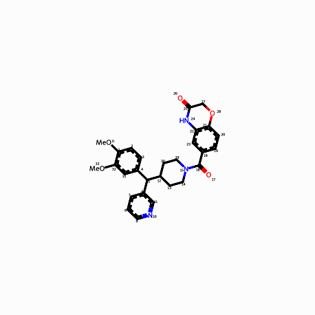 COc1ccc(C(c2cccnc2)C2CCN(C(=O)c3ccc4c(c3)NC(=O)CO4)CC2)cc1OC